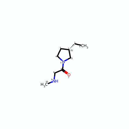 CC[C@H]1CCN(C(=O)CNC)C1